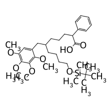 COc1cc(CC(CCCCO[Si](C)(C)C(C)(C)C)CCCC(C(=O)O)c2ccccc2)c(OC)c(OC)c1OC